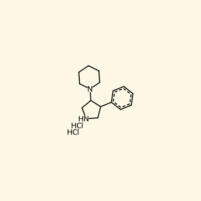 Cl.Cl.c1ccc(C2CNCC2N2CCCCC2)cc1